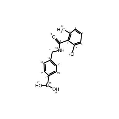 Cc1cccc(Cl)c1C(=O)NCc1ccc(B(O)O)cc1